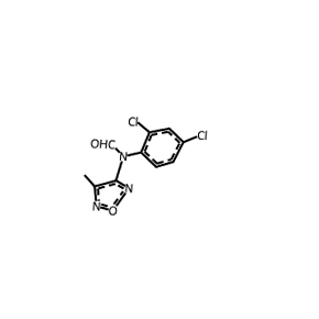 Cc1nonc1N(C=O)c1ccc(Cl)cc1Cl